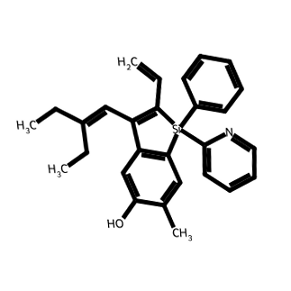 C=CC1=C(C=C(CC)CC)c2cc(O)c(C)cc2[Si]1(c1ccccc1)c1ccccn1